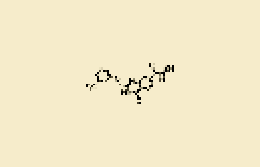 O=C(NO)c1ccc2c(=O)[nH]c(COc3cccc(C(F)(F)F)c3)nc2c1